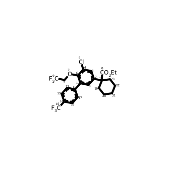 CCOC(=O)C1(c2cc(Cl)c(OCC(F)(F)F)c(-c3ccc(C(F)(F)F)cc3)c2)CCCCC1